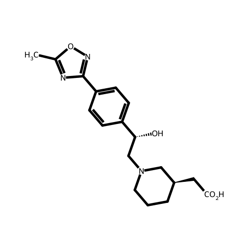 Cc1nc(-c2ccc([C@H](O)CN3CCC[C@H](CC(=O)O)C3)cc2)no1